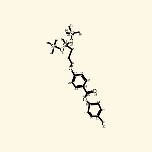 C[Si](C)(C)O[Si](C)(CCCOc1ccc(C(=O)Oc2ccc(F)cc2)cc1)O[Si](C)(C)C